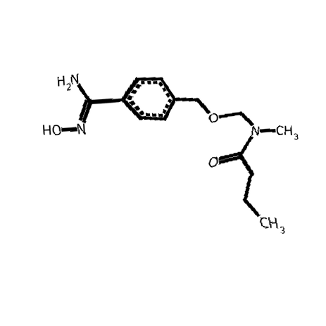 CCCC(=O)N(C)COCc1ccc(C(N)=NO)cc1